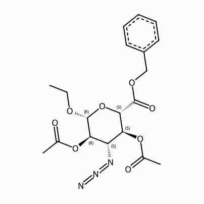 CCO[C@@H]1O[C@H](C(=O)OCc2ccccc2)[C@@H](OC(C)=O)[C@H](N=[N+]=[N-])[C@H]1OC(C)=O